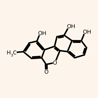 Cc1cc(O)c2c(c1)c(=O)oc1c3cccc(O)c3c(O)cc12